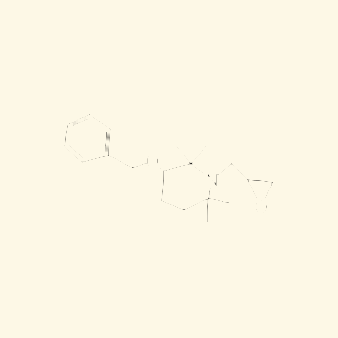 CC1(C)CCC(OCc2ccccc2)C(C)(C)N1CC1CO1